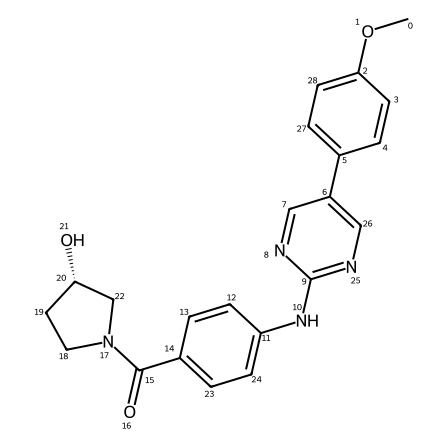 COc1ccc(-c2cnc(Nc3ccc(C(=O)N4CC[C@H](O)C4)cc3)nc2)cc1